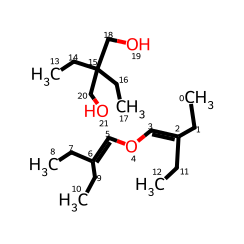 CCC(=COC=C(CC)CC)CC.CCC(CC)(CO)CO